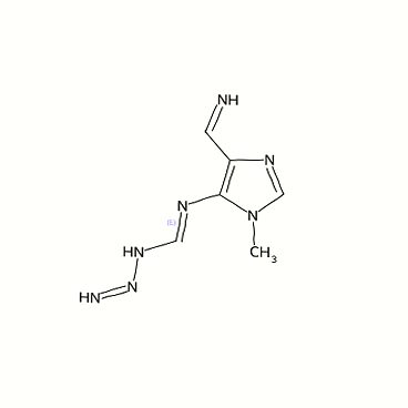 Cn1cnc(C=N)c1/N=C/NN=N